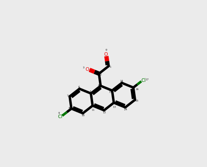 O=CC(=O)c1c2ccc(Cl)cc2cc2ccc(Cl)cc12